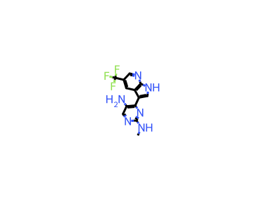 CNc1ncc(N)c(-c2c[nH]c3ncc(C(F)(F)F)cc23)n1